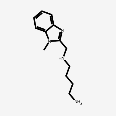 Cn1c(CNCCCCN)nc2ccccc21